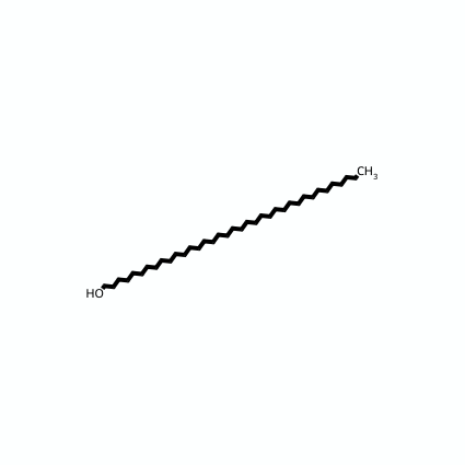 CCCCCCCCCCCCCCCCCCCCCCCCCCCCCCCCCCCCCO